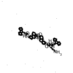 C[C@]1(N(C=O)C(=O)[C@@]2(C)CCC[C@]3(C)c4cc(NC(=O)OCC5c6ccccc6-c6ccccc65)ccc4CC[C@@H]23)CCC[C@]2(C)c3cc(NC(=O)[C@H](CCCCN)NC(=O)OCC4c5ccccc5-c5ccccc54)ccc3CC[C@@H]12